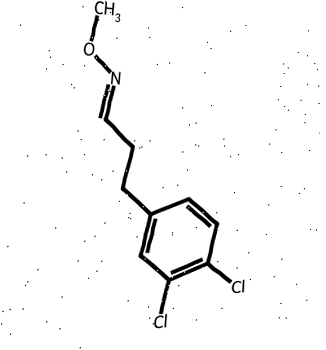 CON=CCCc1ccc(Cl)c(Cl)c1